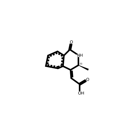 C[C@@H]1NC(=O)c2ccccc2C1=CC(=O)O